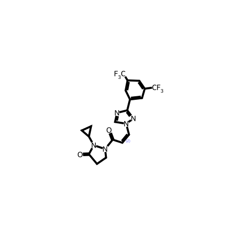 O=C(/C=C\n1cnc(-c2cc(C(F)(F)F)cc(C(F)(F)F)c2)n1)N1CCC(=O)N1C1CC1